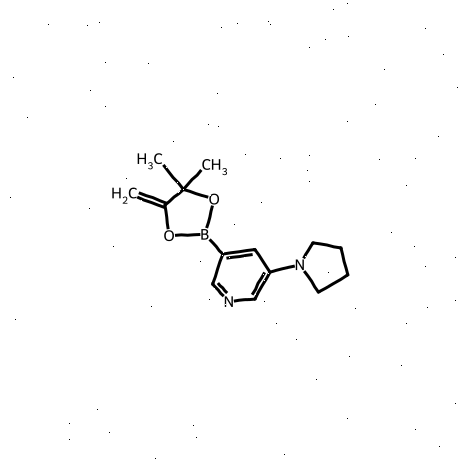 C=C1OB(c2cncc(N3CCCC3)c2)OC1(C)C